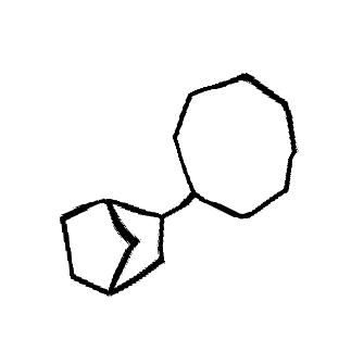 C1CCCC(C2CC3CC[C]2C3)CCC1